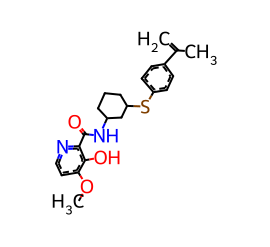 C=C(C)c1ccc(SC2CCCC(NC(=O)c3nccc(OC)c3O)C2)cc1